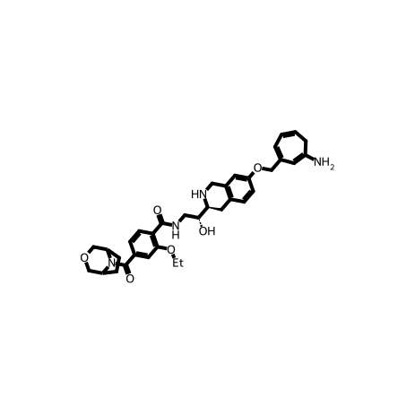 CCOc1cc(C(=O)N2C3CCC2COC3)ccc1C(=O)NC[C@@H](O)[C@@H]1Cc2ccc(OCC3=CC=CCC(N)=C3)cc2CN1